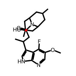 COc1cnc2[nH]cc(C(C)CC(=O)N3C4CC(C)CC3CC(C)(O)C4)c2c1F